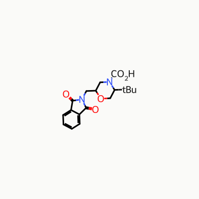 CC(C)(C)C1COC(CN2C(=O)c3ccccc3C2=O)CN1C(=O)O